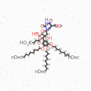 CCCCCCCCCCCCCCCCCCOc1cc(C(OC(=O)CCC(=O)O)[C@]2(O)C[C@H](n3cc(C#P=O)c(=O)[nH]c3=O)O[C@@H]2CO)cc(OCCCCCCCCCCCCCCCCCC)c1OCCCCCCCCCCCCCCCCCC